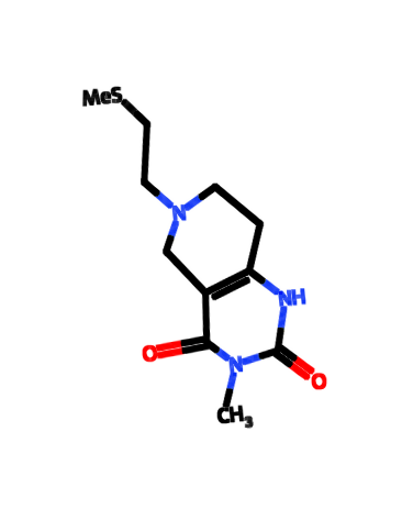 CSCCN1CCc2[nH]c(=O)n(C)c(=O)c2C1